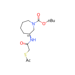 CCCCOC(=O)N1CCCC[C@H](NC(=O)CSC(C)=O)C1